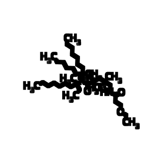 CCCCCCCC(C)(CC)N(C(=O)C(C)(C)CC(C)(C)CNC(=O)CCOCC)C(C)(CCCCCC)CCCCCCC